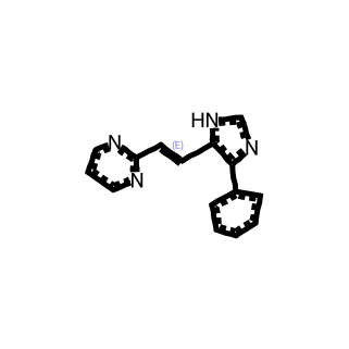 C(=C\c1[nH]cnc1-c1ccccc1)/c1ncccn1